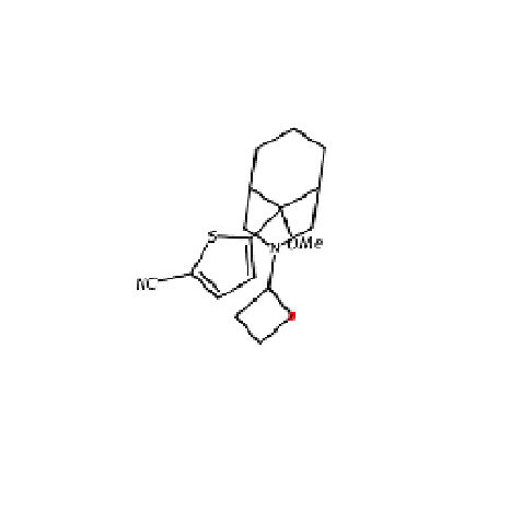 COC1(c2ccc(C#N)s2)C2CCCC1CN(C13CC(C1)C3)C2